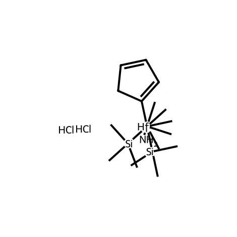 C[Si](C)(C)[Hf]([CH3])([CH3])([CH3])([CH3])([CH3])([NH2])([C]1=CC=CC1)[Si](C)(C)C.Cl.Cl